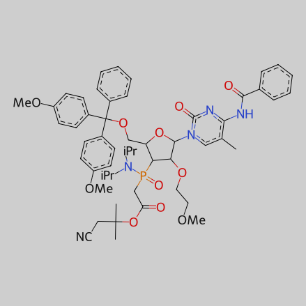 COCCOC1C(n2cc(C)c(NC(=O)c3ccccc3)nc2=O)OC(COC(c2ccccc2)(c2ccc(OC)cc2)c2ccc(OC)cc2)C1P(=O)(CC(=O)OC(C)(C)CC#N)N(C(C)C)C(C)C